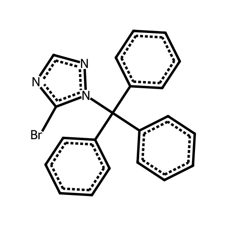 Brc1ncnn1C(c1ccccc1)(c1ccccc1)c1ccccc1